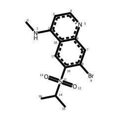 CNc1ccnc2cc(Br)c(S(=O)(=O)C(C)C)cc12